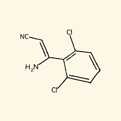 N#CC=C(N)c1c(Cl)cccc1Cl